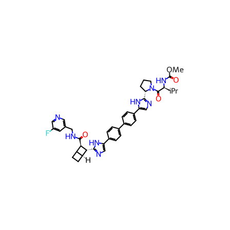 COC(=O)N[C@H](C(=O)N1CCC[C@H]1c1ncc(-c2ccc(-c3ccc(-c4cnc([C@H]5[C@H](C(=O)NCc6cncc(F)c6)C6CC[C@@H]65)[nH]4)cc3)cc2)[nH]1)C(C)C